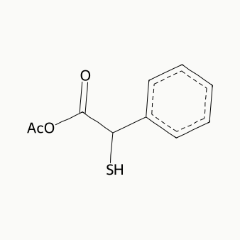 CC(=O)OC(=O)C(S)c1ccccc1